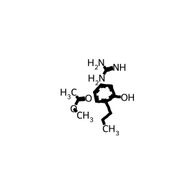 CCCc1ccccc1O.COC(C)=O.N=C(N)N